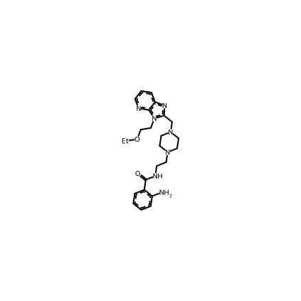 CCOCCn1c(CN2CCN(CCNC(=O)c3ccccc3N)CC2)nc2cccnc21